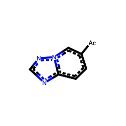 CC(=O)c1ccc2ncnn2c1